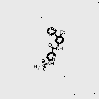 CCc1ccc(NC(=O)c2ccc(NS(C)(=O)=O)nc2)cc1-c1ccccn1